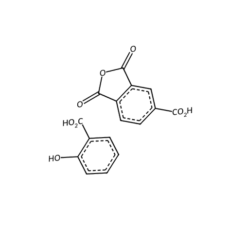 O=C(O)c1ccc2c(c1)C(=O)OC2=O.O=C(O)c1ccccc1O